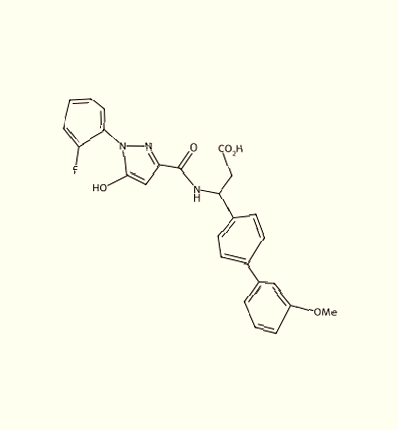 COc1cccc(-c2ccc(C(CC(=O)O)NC(=O)c3cc(O)n(-c4ccccc4F)n3)cc2)c1